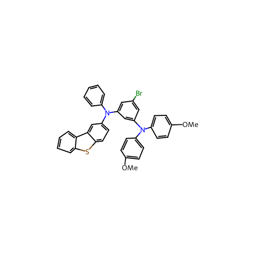 COc1ccc(N(c2ccc(OC)cc2)c2cc(Br)cc(N(c3ccccc3)c3ccc4sc5ccccc5c4c3)c2)cc1